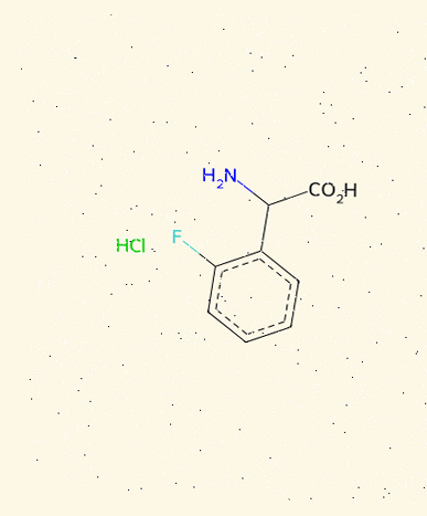 Cl.NC(C(=O)O)c1ccccc1F